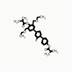 C=C(C)C(=O)Oc1ccc(-c2ccc(-c3cc(COCC)c(OC(=O)C(=C)C)c(COCC)c3)cc2F)cc1